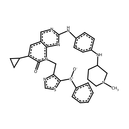 CN1CCCC(Nc2ccc(Nc3ncc4cc(C5CC5)c(=O)n(Cc5ncsc5[S+]([O-])c5ccccc5)c4n3)cc2)C1